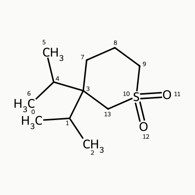 CC(C)C1(C(C)C)CCCS(=O)(=O)C1